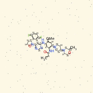 C=CC(=O)Nc1cc(Nc2cc(N3OCC[C@@H]3c3cc(F)ccc3F)ncn2)c(OC)cc1N1CCC(N2CCO[C@H](C)C2)CC1